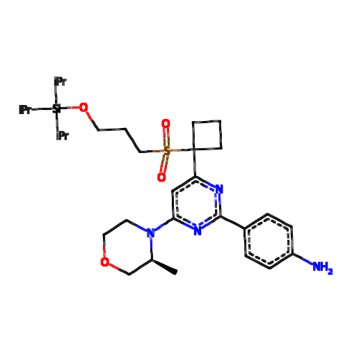 CC(C)[Si](OCCCS(=O)(=O)C1(c2cc(N3CCOC[C@@H]3C)nc(-c3ccc(N)cc3)n2)CCC1)(C(C)C)C(C)C